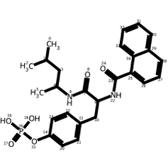 CC(C)CC(C)NC(=O)C(Cc1ccc(OP(=O)(O)O)cc1)NC(=O)c1cccc2ccccc12